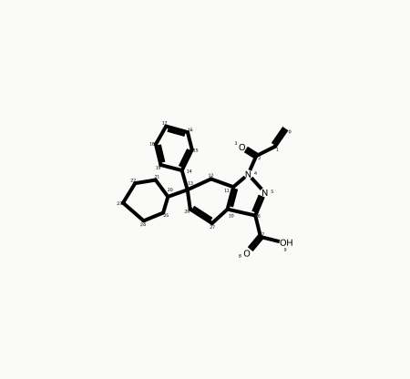 C=CC(=O)n1nc(C(=O)O)c2c1CC(c1ccccc1)(C1CCCCC1)C=C2